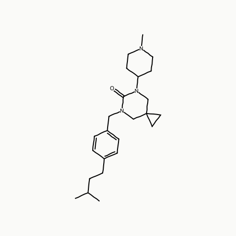 CC(C)CCc1ccc(CN2CC3(CC3)CN(C3CCN(C)CC3)C2=O)cc1